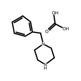 O=C(O)O.c1ccc(CN2CCNCC2)cc1